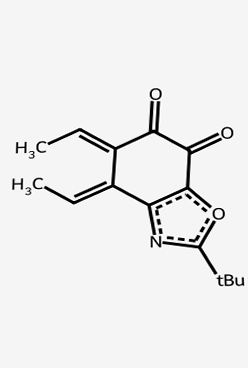 C/C=C1/C(=O)C(=O)c2oc(C(C)(C)C)nc2/C1=C/C